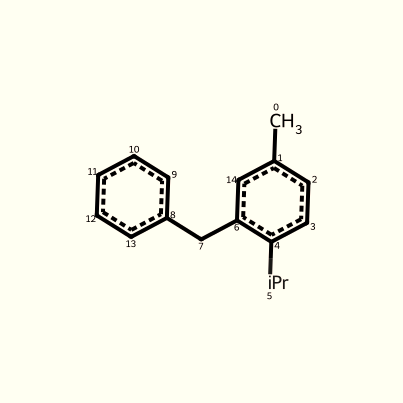 Cc1ccc(C(C)C)c(Cc2ccccc2)c1